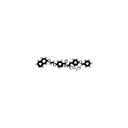 O=C(N[C@@H](Cc1ccc(OCc2ccccc2)cc1)C(=O)O)c1ccc(OCCOC2CCc3ccccc3C2)cc1